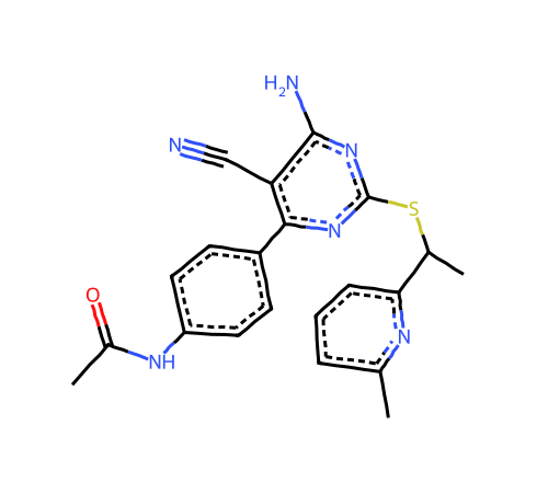 CC(=O)Nc1ccc(-c2nc(SC(C)c3cccc(C)n3)nc(N)c2C#N)cc1